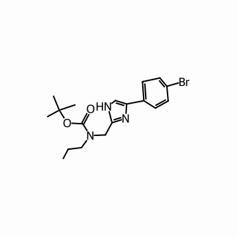 CCCN(Cc1nc(-c2ccc(Br)cc2)c[nH]1)C(=O)OC(C)(C)C